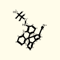 CC(C)(O)C(C)(C)OBc1cccc2c1Oc1ccccc1C21c2ccccc2-c2ccc(C#N)cc21